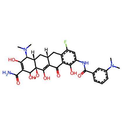 CO[C@]12C(O)=C3C(=O)c4c(O)c(NC(=O)c5cccc(N(C)C)c5)cc(F)c4C[C@H]3C[C@H]1[C@H](N(C)C)C(O)=C(C(N)=O)C2O